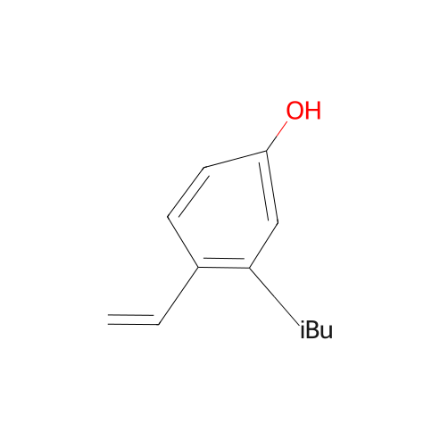 C=Cc1ccc(O)cc1C(C)CC